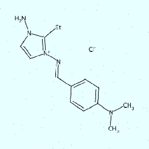 CCc1n(N)cc[n+]1/N=C/c1ccc(N(C)C)cc1.[Cl-]